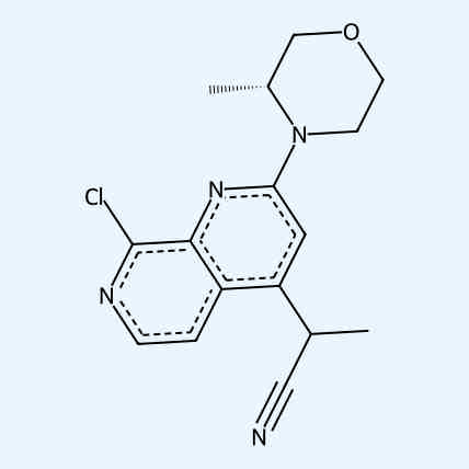 CC(C#N)c1cc(N2CCOC[C@H]2C)nc2c(Cl)nccc12